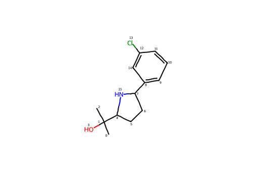 CC(C)(O)C1CCC(c2cccc(Cl)c2)N1